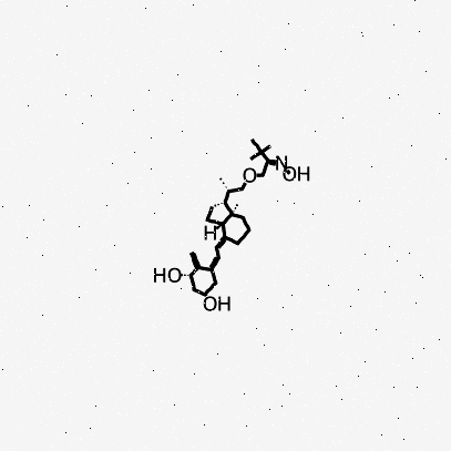 C=C1/C(=C\C=C2/CCC[C@]3(C)[C@@H]([C@H](C)COC/C(=N\O)C(C)(C)C)CC[C@@H]23)C[C@@H](O)C[C@@H]1O